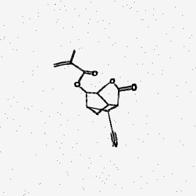 C=C(C)C(=O)OC1C2CC3C1OC(=O)C3C2C#N